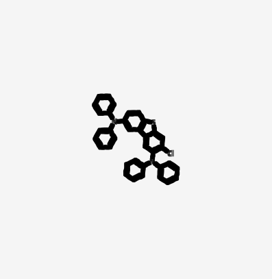 Clc1cc2sc3ccc(N(c4ccccc4)c4ccccc4)cc3c2cc1N(c1ccccc1)c1ccccc1